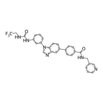 O=C(NCC(F)(F)F)Nc1cccc(-n2cnc3cc(-c4ccc(C(=O)NCc5cccnc5)cc4)ccc32)c1